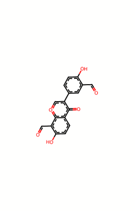 O=Cc1cc(-c2coc3c(C=O)c(O)ccc3c2=O)ccc1O